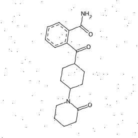 NC(=O)c1ccccc1C(=O)C1CCC(N2CCCCC2=O)CC1